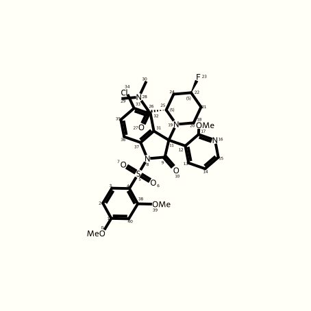 COc1ccc(S(=O)(=O)N2C(=O)C(c3cccnc3OC)(N3CC[C@H](F)C[C@H]3C(=O)N(C)C)c3cc(Cl)ccc32)c(OC)c1